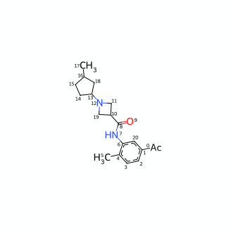 CC(=O)c1ccc(C)c(NC(=O)C2CN(C3CCC(C)C3)C2)c1